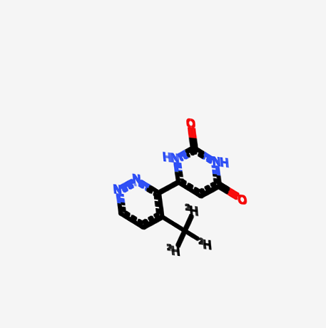 [2H]C([2H])([2H])c1ccnnc1-c1cc(=O)[nH]c(=O)[nH]1